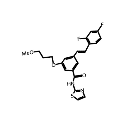 COCCCOc1cc(/C=C/c2ccc(F)cc2F)cc(C(=O)Nc2nccs2)c1